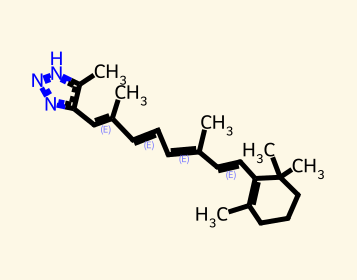 CC1=C(/C=C/C(C)=C/C=C/C(C)=C/c2nn[nH]c2C)C(C)(C)CCC1